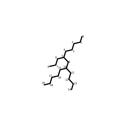 CCCCCC(CCC)CC(CCCC)CCCCC